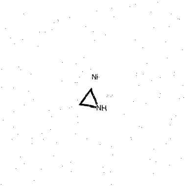 C1CN1.[Ni]